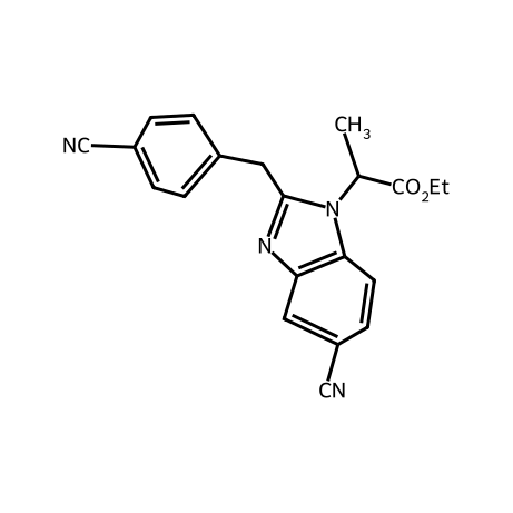 CCOC(=O)C(C)n1c(Cc2ccc(C#N)cc2)nc2cc(C#N)ccc21